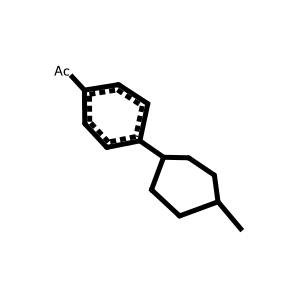 CC(=O)c1ccc(C2CCC(C)CC2)cc1